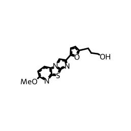 COc1ccc2c(n1)sc1nc(-c3ccc(CCCO)o3)cn12